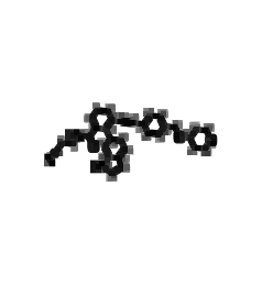 N#CCCNC(=O)c1cccc(C#Cc2ccc(COC3CCOCC3)cc2)c1-c1ccc2cc[nH]c2c1